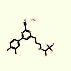 Cc1ccc(-c2cc(CCCNC(C)C(F)(F)F)nc(C#N)n2)cc1C.Cl